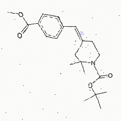 COC(=O)c1ccc(/C=C2/CCN(C(=O)OC(C)(C)C)C(C)(C)C2)cc1